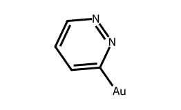 [Au][c]1cccnn1